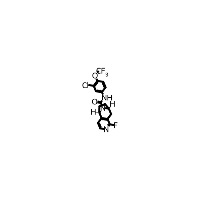 O=C(Nc1ccc(OC(F)(F)F)c(Cl)c1)N1[C@H]2CC[C@@H]1c1ccnc(F)c1C2